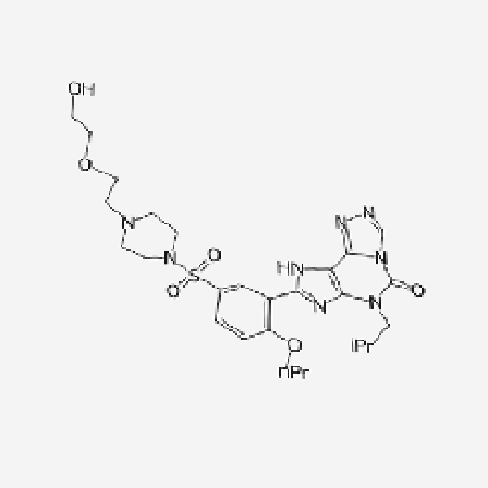 CCCOc1ccc(S(=O)(=O)N2CCN(CCOCCO)CC2)cc1-c1nc2c([nH]1)c1nncn1c(=O)n2CC(C)C